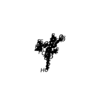 CC(C)(C#Cc1ccc(-c2ccc(Cl)c3c(N(C(=O)OCCOCCO)S(C)(=O)=O)nn(CC(F)(F)F)c23)c([C@H](Cc2cc(F)cc(F)c2)NC(=O)Cn2nc(C(F)(F)F)c3c2C(F)(F)C2C[C@H]32)n1)S(C)(=O)=O